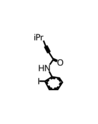 CC(C)C#CC(=O)Nc1ccccc1I